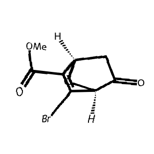 COC(=O)C1=C(Br)[C@H]2O[C@@H]1CC2=O